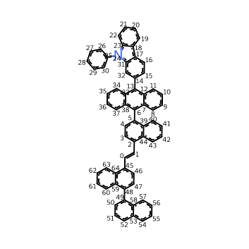 C(=C\c1ccc(-c2c3ccccc3c(-c3ccc4c5ccccc5n(-c5ccccc5)c4c3)c3ccccc23)c2ccccc12)/c1ccc(-c2cccc3ccccc23)c2ccccc12